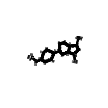 CCn1cc(O)c2ccc(-c3ccc(OC(F)(F)F)cc3)cc21